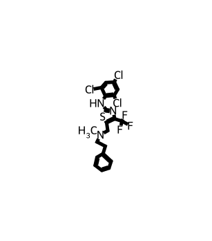 CN(CCc1ccccc1)Cc1sc(Nc2c(Cl)cc(Cl)cc2Cl)nc1C(F)(F)F